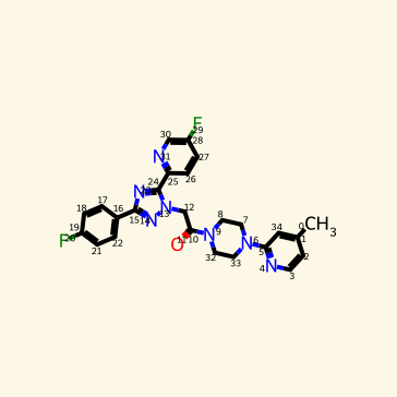 Cc1ccnc(N2CCN(C(=O)Cn3nc(-c4ccc(F)cc4)nc3-c3ccc(F)cn3)CC2)c1